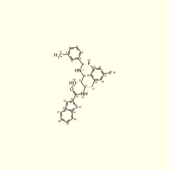 Cc1cccc(CNC[C@@H](O)[C@H](Cc2cc(F)cc(F)c2)NC(=O)c2cc3ccccc3s2)c1